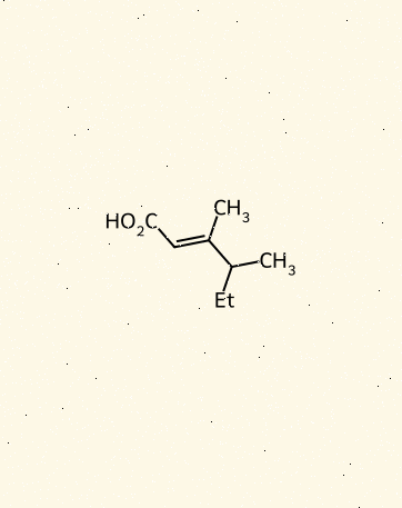 CCC(C)C(C)=CC(=O)O